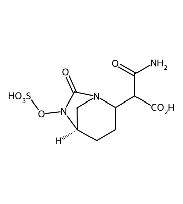 NC(=O)C(C(=O)O)C1CC[C@@H]2CN1C(=O)N2OS(=O)(=O)O